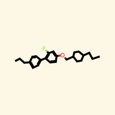 CCCc1ccc(-c2ccc(OCC3CCC(CCC)CC3)cc2F)cc1